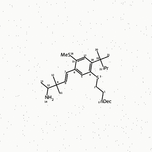 CCCCCCCCCCCCSc1cc(/C=C/C(C)(C)C(C)N)c(SC)cc1C(C)(C)C(C)C